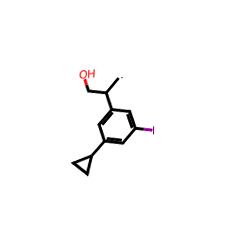 [CH2]C(CO)c1cc(I)cc(C2CC2)c1